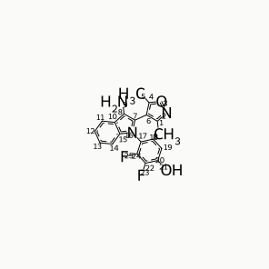 Cc1noc(C)c1-c1c(N)c2ccccc2n1-c1ccc(O)c(F)c1F